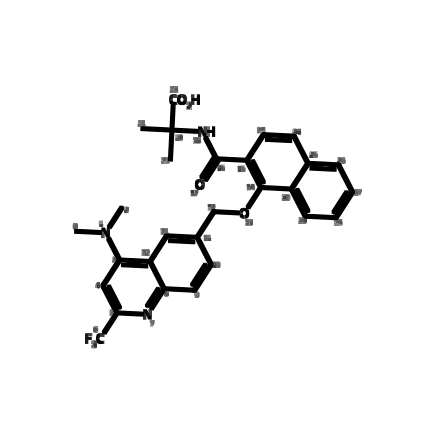 CN(C)c1cc(C(F)(F)F)nc2ccc(COc3c(C(=O)NC(C)(C)C(=O)O)ccc4ccccc34)cc12